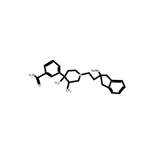 CC(=O)NC1(CCN2CCC(C)(c3cccc(C(N)=O)c3)C(C)C2)Cc2ccccc2C1